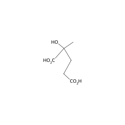 CC(O)(CCC(=O)O)C(=O)O